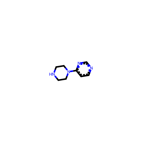 c1cc(N2CCNCC2)ncn1